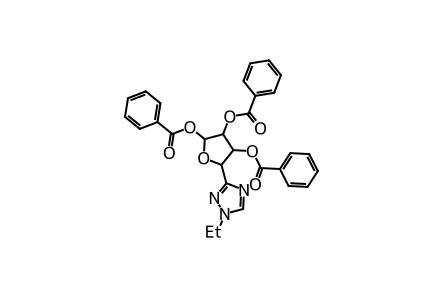 CCn1cnc(C2OC(OC(=O)c3ccccc3)C(OC(=O)c3ccccc3)C2OC(=O)c2ccccc2)n1